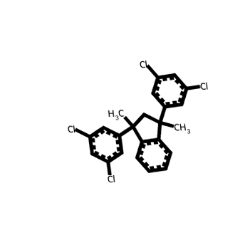 CC1(c2cc(Cl)cc(Cl)c2)CC(C)(c2cc(Cl)cc(Cl)c2)c2ccccc21